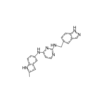 Cc1cc2cc(Nc3ccnc(NCc4ccc5[nH]ncc5c4)n3)ccc2[nH]1